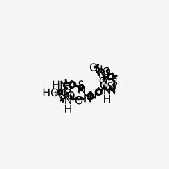 COc1cc(C)c(Sc2cnc(NC(=O)c3ccc(N4CCN(CCOCCC(=O)NC(C(=O)N5C[C@H](O)C[C@H]5C(=O)NC(C)c5ccc(-c6scnc6C)cc5)C(C)(C)C)CC4)cc3)s2)cc1C(=O)N1CCN(C(C)=O)CC1